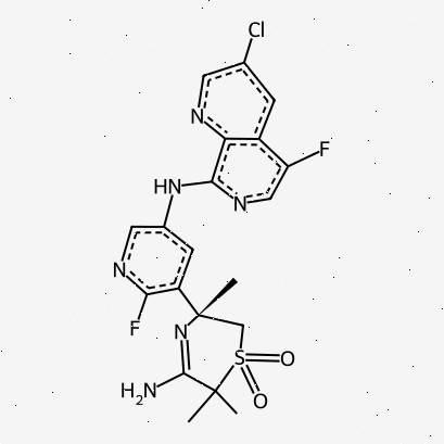 CC1(C)C(N)=N[C@](C)(c2cc(Nc3ncc(F)c4cc(Cl)cnc34)cnc2F)CS1(=O)=O